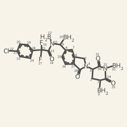 BC1CC(N2Cc3cc(C(B)N(B)C(=O)C(F)(F)c4ccc(Cl)cc4)ccc3C2=O)C(=O)N(B)C1=O